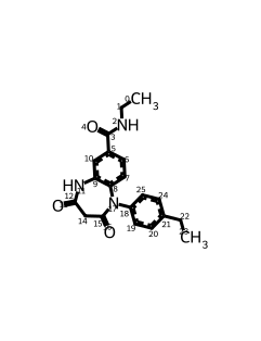 CCNC(=O)c1ccc2c(c1)NC(=O)CC(=O)N2c1ccc(CC)cc1